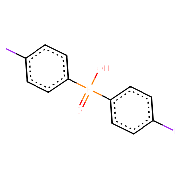 O=P(O)(c1ccc(I)cc1)c1ccc(I)cc1